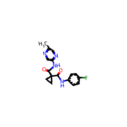 Cc1cnc(NC(=O)C2(C(=O)Nc3ccc(F)cc3)CC2)cn1